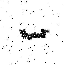 Cc1ccc2c(c1)CCCN2Cc1cccc(-c2ccc(COc3cncc(C(=O)O)c3)cc2)c1